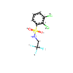 O=S(=O)(NCC(F)(F)F)c1cccc(Cl)c1Cl